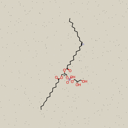 CCCCCCCCCC/C=C\CCCCCCCCCC(=O)O[C@H](COC(=O)CCCCCCCCCCCCC)COP(=O)(O)OC[C@@H](O)CO